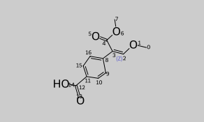 CO/C=C(\C(=O)OC)c1ccc(C(=O)O)cc1